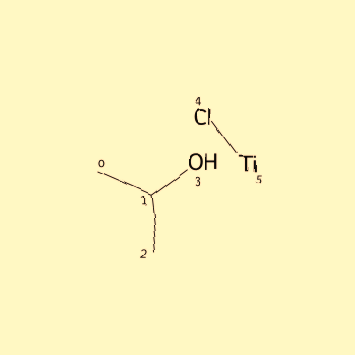 CC(C)O.[Cl][Ti]